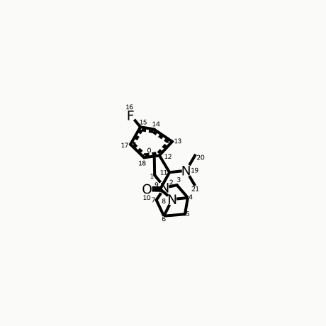 CCN1CC2CC(C1)N2C(=O)C(c1ccc(F)cc1)N(C)C